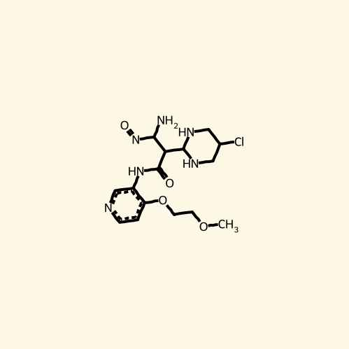 COCCOc1ccncc1NC(=O)C(C(N)N=O)C1NCC(Cl)CN1